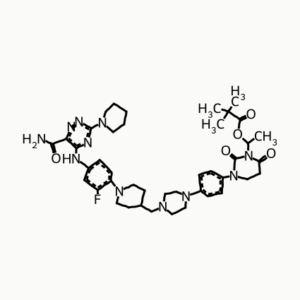 CC(OC(=O)C(C)(C)C)N1C(=O)CCN(c2ccc(N3CCN(CC4CCN(c5ccc(Nc6nc(N7CCCCC7)nnc6C(N)=O)cc5F)CC4)CC3)cc2)C1=O